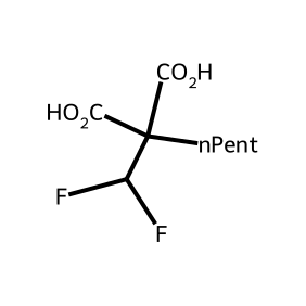 CCCCCC(C(=O)O)(C(=O)O)C(F)F